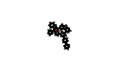 c1ccc(-c2ccc(-c3nc(-c4ccccc4)nc(-c4cccc5oc6ccc(-c7ccc(-c8ccccc8)c8c7sc7ccccc78)cc6c45)n3)cc2)cc1